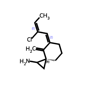 C=C1/C(=C\C(Cl)=C/C)CCC[C@@]12CC2N